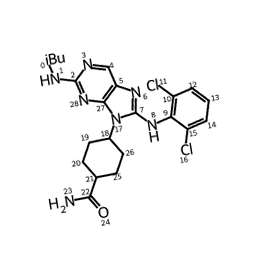 CCC(C)Nc1ncc2nc(Nc3c(Cl)cccc3Cl)n(C3CCC(C(N)=O)CC3)c2n1